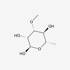 CO[C@@H]1[C@@H](O)[C@H](C)O[C@@H](O)[C@@H]1O